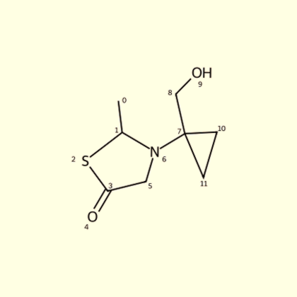 CC1SC(=O)CN1C1(CO)CC1